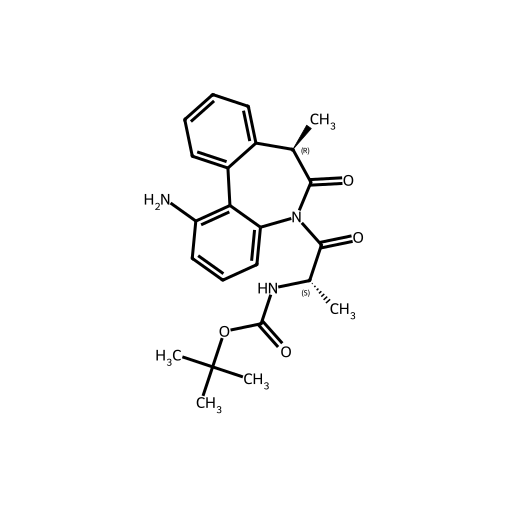 C[C@H](NC(=O)OC(C)(C)C)C(=O)N1C(=O)[C@H](C)c2ccccc2-c2c(N)cccc21